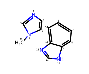 Cn1ccnc1.c1ccc2[nH]cnc2c1